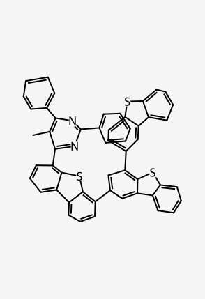 Cc1c(-c2ccccc2)nc(-c2ccccc2)nc1-c1cccc2c1sc1c(-c3cc(-c4ccc5sc6ccccc6c5c4)c4sc5ccccc5c4c3)cccc12